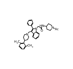 CC(=O)N1CCC(NC(=O)Cn2c(-c3ccccc3)c(CN3CCC(c4c(C)cccc4C)CC3)c3ccccc32)CC1